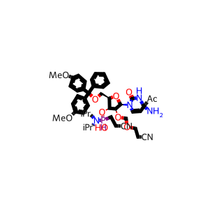 COc1ccc(C(OC[C@H]2O[C@@H](N3C=CC(N)(C(C)=O)NC3=O)[C@H](OCOCCC#N)[C@@H]2O[PH](O)(CCC#N)N(C(C)C)C(C)C)(c2ccccc2)c2ccc(OC)cc2)cc1